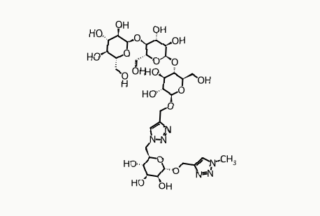 Cn1cc(CO[C@H]2O[C@H](Cn3cc(CO[C@@H]4O[C@H](CO)[C@@H](O[C@H]5O[C@H](CO)[C@@H](O[C@H]6O[C@H](CO)[C@@H](O)[C@H](O)[C@H]6O)[C@H](O)[C@H]5O)[C@H](O)[C@H]4O)nn3)[C@@H](O)[C@H](O)[C@@H]2O)nn1